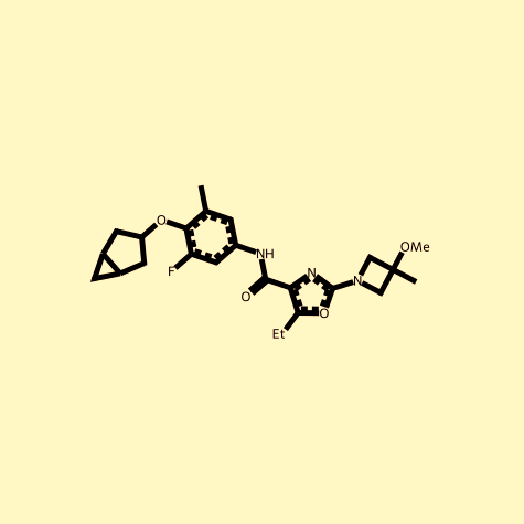 CCc1oc(N2CC(C)(OC)C2)nc1C(=O)Nc1cc(C)c(OC2CC3CC3C2)c(F)c1